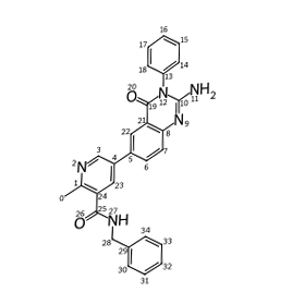 Cc1ncc(-c2ccc3nc(N)n(-c4ccccc4)c(=O)c3c2)cc1C(=O)NCc1ccccc1